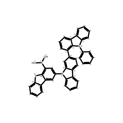 OB(O)c1cc(-n2c3ccccc3c3ccc(-c4cccc5c6ccccc6n(-c6ccccc6)c45)cc32)cc2c1sc1ccccc12